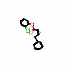 O=C(/C=C\Cc1ccccc1)Oc1ccccc1Cl